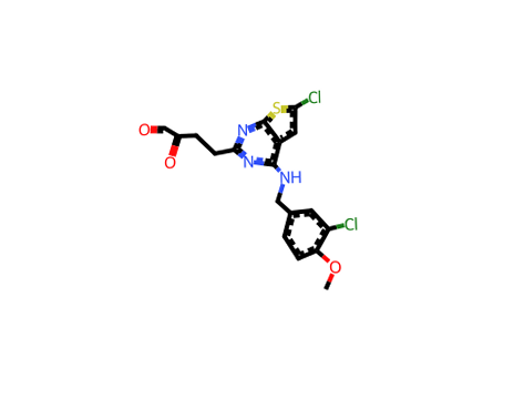 COc1ccc(CNc2nc(CCC(=O)C=O)nc3sc(Cl)cc23)cc1Cl